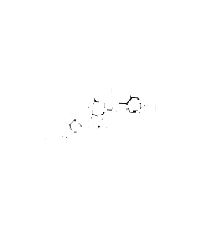 Cc1ccc(CNc2nc(Cl)nc3c2ncn3[C@@H]2O[C@H](CO)[C@@H](O)[C@H]2O)c(C)c1